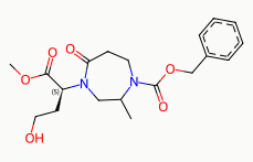 COC(=O)[C@H](CCO)N1CC(C)N(C(=O)OCc2ccccc2)CCC1=O